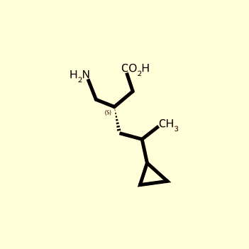 CC(C[C@H](CN)CC(=O)O)C1CC1